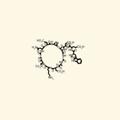 CCC(C)C1NC(=O)C(CCC(=O)O)NC(=O)C(CC(N)=O)NC(=O)CNC(=O)C(CC(=O)O)NC(=O)C(CCCCN)NC(=O)C(CC(=O)O)NC(=O)C(C)NC(=O)CNC(=O)C(NC(=O)C(CC(=O)O)NC(=O)C(CCC(=O)O)NC(=O)C(Cc2c[nH]c3ccccc23)NC=O)C(C)OC1=O